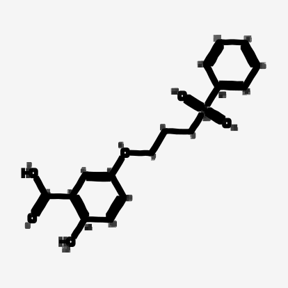 O=C(O)c1cc(OCCCS(=O)(=O)c2ccccc2)ccc1O